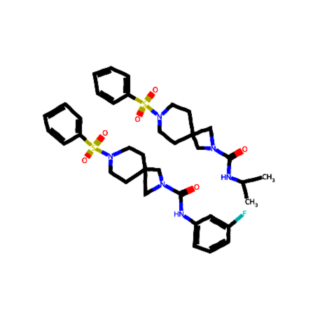 CC(C)NC(=O)N1CC2(CCN(S(=O)(=O)c3ccccc3)CC2)C1.O=C(Nc1cccc(F)c1)N1CC2(CCN(S(=O)(=O)c3ccccc3)CC2)C1